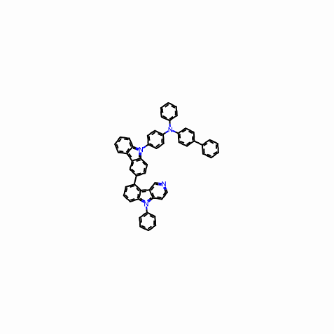 c1ccc(-c2ccc(N(c3ccccc3)c3ccc(-n4c5ccccc5c5cc(-c6cccc7c6c6cnccc6n7-c6ccccc6)ccc54)cc3)cc2)cc1